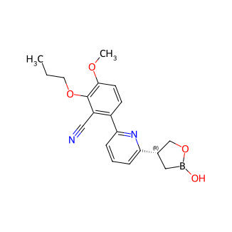 CCCOc1c(OC)ccc(-c2cccc([C@@H]3COB(O)C3)n2)c1C#N